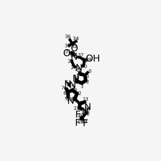 Cc1ccc(-n2ncc3cnc(-c4cnn(CC(F)(F)F)c4)cc32)nc1N1CCN(C(=O)OC(C)(C)C)C[C@@H](O)C1